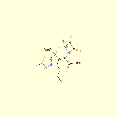 C=CCCC1=C(C(=O)C(C)(C)C)N2C(=O)C(=S)[C@@H]2SC1(OC)c1nnc(C)s1